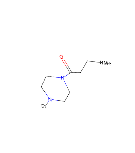 CCN1CCN(C(=O)CCNC)CC1